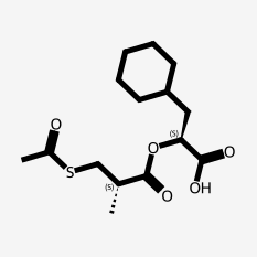 CC(=O)SC[C@@H](C)C(=O)O[C@@H](CC1CCCCC1)C(=O)O